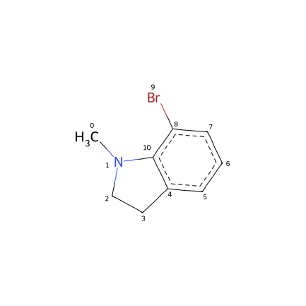 CN1CCc2cccc(Br)c21